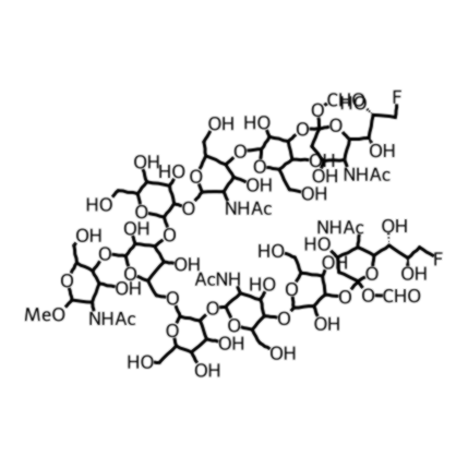 COC1OC(CO)C(OC2OC(COC3OC(CO)C(O)C(O)C3OC3OC(CO)C(OC4OC(CO)C(O)C(OC5(OC=O)CC(O)C(NC(C)=O)C([C@H](O)[C@H](O)CF)O5)C4O)C(O)C3NC(C)=O)C(O)C(OC3OC(CO)C(O)C(O)C3OC3OC(CO)C(OC4OC(CO)C(O)C(OC5(OC=O)CC(O)C(NC(C)=O)C([C@H](O)[C@H](O)CF)O5)C4O)C(O)C3NC(C)=O)C2O)C(O)C1NC(C)=O